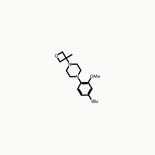 COc1cc(C(C)(C)C)ccc1N1CCN(C2(C)COC2)CC1